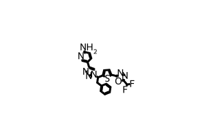 Nc1ccc(-c2cn(C(Cc3ccccc3)c3ccc(-c4nnc(C(F)F)o4)s3)nn2)cn1